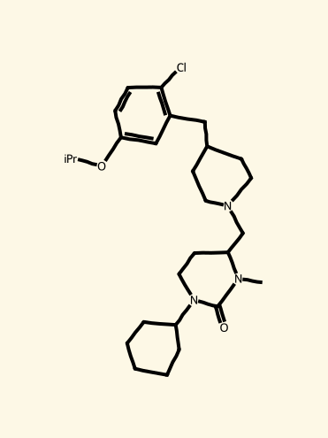 CC(C)Oc1ccc(Cl)c(CC2CCN(CC3CCN(C4CCCCC4)C(=O)N3C)CC2)c1